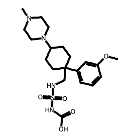 COc1cccc(C2(CNS(=O)(=O)NC(=O)O)CCC(N3CCN(C)CC3)CC2)c1